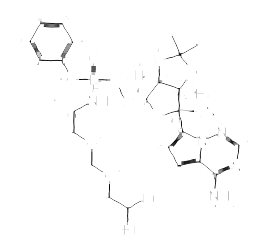 CCC(CC)COCOC[C@H](C)N[P@](=O)(OC[C@H]1O[C@@](C#N)(c2ccc3c(N)ncnn23)[C@@H]2OC(C)(C)O[C@@H]21)Oc1ccccc1